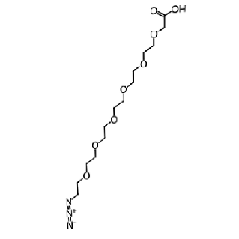 [N-]=[N+]=NCCOCCOCCOCCOCCOCCOCC(=O)O